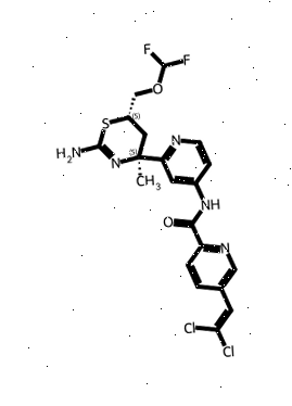 C[C@@]1(c2cc(NC(=O)c3ccc(C=C(Cl)Cl)cn3)ccn2)C[C@@H](COC(F)F)SC(N)=N1